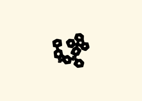 c1ccc(-c2ccc3sc4ccc(N(c5ccccc5)c5ccc(C6(c7ccccc7)c7ccccc7-c7ccccc76)cc5)cc4c3c2)cc1